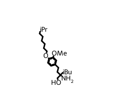 CCC(C)C(N)(CO)CCc1ccc(OCCCCCCC(C)C)c(OC)c1